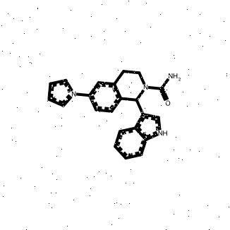 NC(=O)N1CCc2cc(-n3cccc3)ccc2C1c1c[nH]c2ccccc12